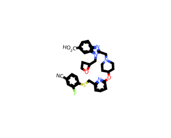 N#Cc1ccc(SCc2cccc(OC3CCN(Cc4nc5ccc(C(=O)O)cc5n4CC4CCO4)CC3)n2)c(F)c1